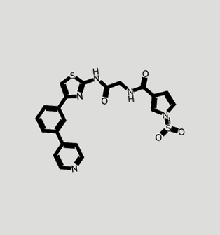 O=C(CNC(=O)c1ccn([SH](=O)=O)c1)Nc1nc(-c2cccc(-c3ccncc3)c2)cs1